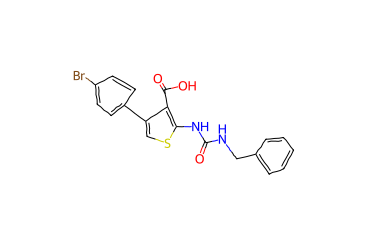 O=C(NCc1ccccc1)Nc1scc(-c2ccc(Br)cc2)c1C(=O)O